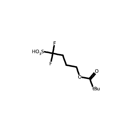 CC(C)(C)C(=O)OCCCC(F)(F)S(=O)(=O)O